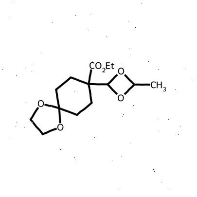 CCOC(=O)C1(C2OC(C)O2)CCC2(CC1)OCCO2